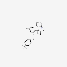 C/N=C1/CNCCN1C1(c2ncc(Cl)cc2NS(=O)(=O)c2ccc(C(C)(C)C)cc2)C=CC1